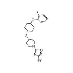 CC(C)c1noc(N2CCC(O[C@H]3CC[C@H](Oc4ccncc4F)CC3)CC2)n1